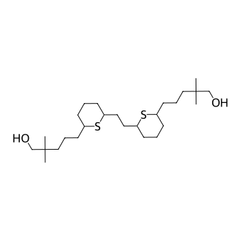 CC(C)(CO)CCCC1CCCC(CCC2CCCC(CCCC(C)(C)CO)S2)S1